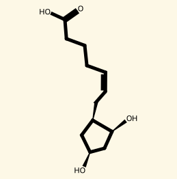 O=C(O)CCC/C=C\C[C@@H]1C[C@H](O)C[C@@H]1O